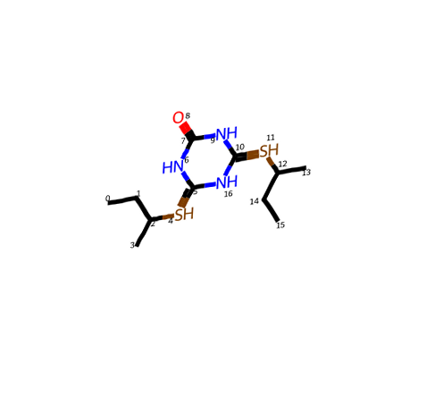 CCC(C)[SH]=c1[nH]c(=O)[nH]c(=[SH]C(C)CC)[nH]1